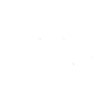 c1ccc(-n2c3ccncc3c3cc(-n4c5ccccc5c5cc6c7ccccc7n(-c7ccc8oc9ccccc9c8c7)c6cc54)ccc32)cc1